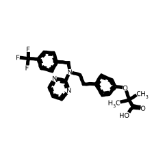 CC(C)(Oc1ccc(CCN(Cc2ccc(C(F)(F)F)cc2)c2ncccn2)cc1)C(=O)O